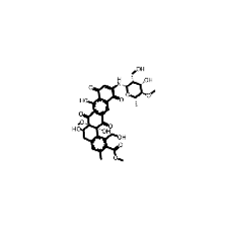 COC(=O)c1c(C)cc2c(c1CO)[C@]1(O)C(=O)c3cc4c(c(O)c3C(=O)[C@]1(OC)[C@H](O)C2)C(=O)C=C(N[C@H]1O[C@@H](C)[C@H](OC)[C@@H](O)[C@H]1CO)C4=O